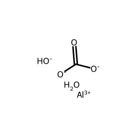 O.O=C([O-])[O-].[Al+3].[OH-]